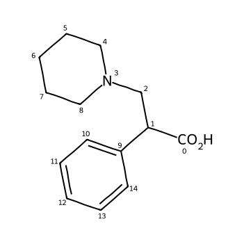 O=C(O)C(CN1CCCCC1)c1ccccc1